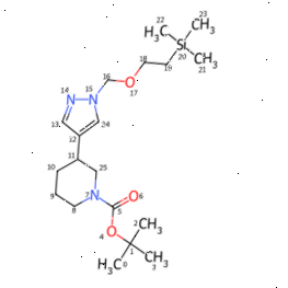 CC(C)(C)OC(=O)N1CCCC(c2cnn(COCC[Si](C)(C)C)c2)C1